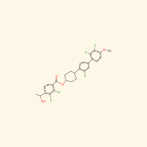 CCOc1ccc(-c2ccc(C3CCC(OC(=O)c4ccc(C(C)O)c(F)c4F)CC3)c(F)c2)c(F)c1F